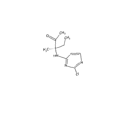 CC[C@@](C)(Nc1ccnc(Cl)n1)C(C)=O